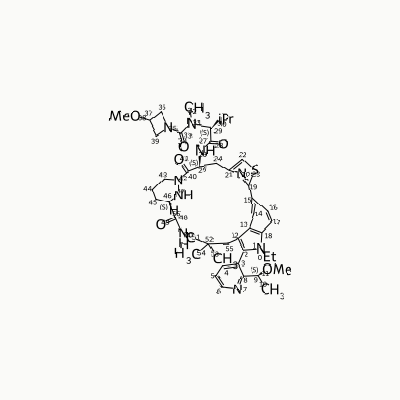 CCn1c(-c2cccnc2[C@H](C)OC)c2c3cc(ccc31)-c1nc(cs1)C[C@H](NC(=O)[C@H](C(C)C)N(C)C(=O)N1CC(OC)C1)C(=O)N1CCC[C@H](N1)C(=O)NCC(C)(C)C2